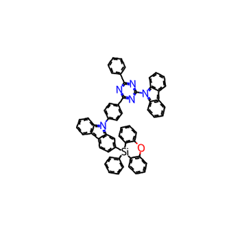 c1ccc(-c2nc(-c3ccc(-n4c5ccccc5c5ccc([Si]6(c7ccccc7)c7ccccc7Oc7ccccc76)cc54)cc3)nc(-n3c4ccccc4c4ccccc43)n2)cc1